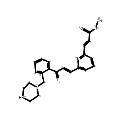 O=C(C=Cc1cccc(C=CC(=O)c2ccccc2CN2CCNCC2)n1)NO